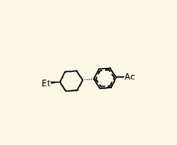 CC[C@H]1CC[C@H](c2ccc(C(C)=O)cc2)CC1